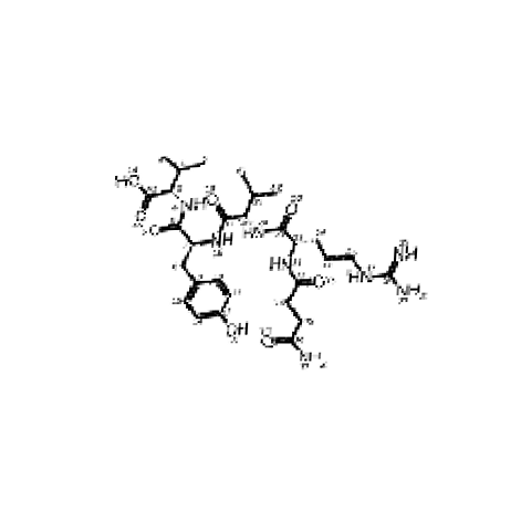 CC(C)[C@H](NC(=O)[C@H](Cc1ccc(O)cc1)NC(=O)[C@@H](NC(=O)[C@H](CCCNC(=N)N)NC(=O)CCC(N)=O)C(C)C)C(=O)O